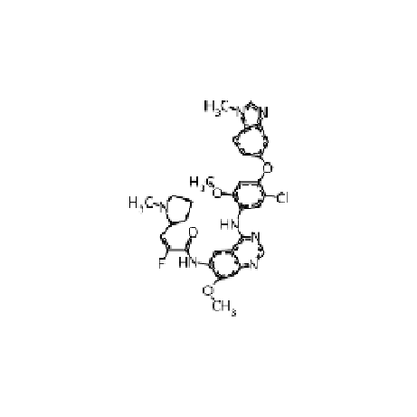 COc1cc2ncnc(Nc3cc(Cl)c(Oc4ccc5c(c4)ncn5C)cc3OC)c2cc1NC(=O)/C(F)=C\C1CCCN1C